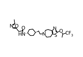 Cc1ncc(CC(=O)N[C@H]2CC[C@H](CCN3CCc4nc(OC(C)C(F)(F)F)sc4CC3)CC2)o1